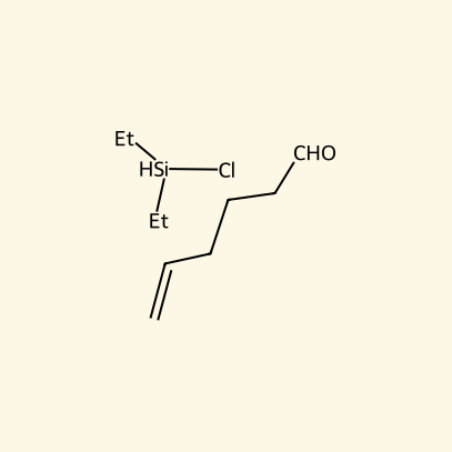 C=CCCCC=O.CC[SiH](Cl)CC